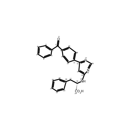 O=C(c1ccccc1)c1ccc(-c2cc(N[C@@H](Cc3ccccc3)C(=O)O)ncn2)cc1